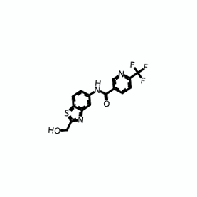 O=C(Nc1ccc2sc(CO)nc2c1)c1ccc(C(F)(F)F)nc1